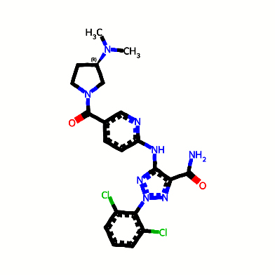 CN(C)[C@@H]1CCN(C(=O)c2ccc(Nc3nn(-c4c(Cl)cccc4Cl)nc3C(N)=O)nc2)C1